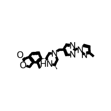 Cc1ccn(-c2ncc(CN3C[C@@H](c4ccc5c(c4C)COC5=O)N[C@@H](C)C3)cn2)n1